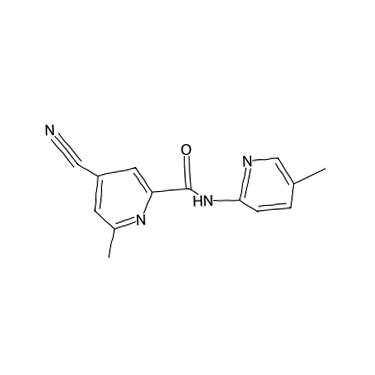 Cc1ccc(NC(=O)c2cc(C#N)cc(C)n2)nc1